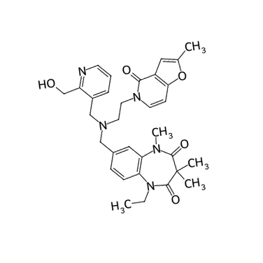 CCN1C(=O)C(C)(C)C(=O)N(C)c2cc(CN(CCn3ccc4oc(C)cc4c3=O)Cc3cccnc3CO)ccc21